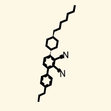 CCCCCCC[C@H]1CC[C@H](c2ccc(-c3ccc(CCC)cc3)c(C#N)c2C#N)CC1